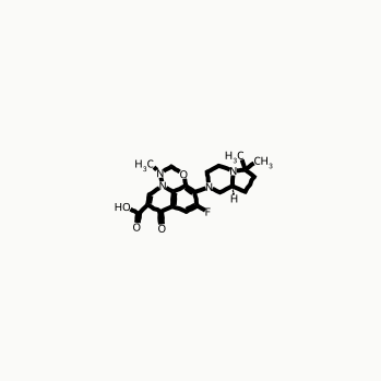 CN1COc2c(N3CCN4[C@@H](CCC4(C)C)C3)c(F)cc3c(=O)c(C(=O)O)cn1c23